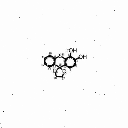 Oc1ccc2c(c1O)Sc1ccccc1C21OCCO1